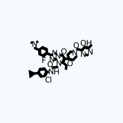 Cc1ncnc(C(=O)N2CCC3(CC2)OC(C)c2c3c(=O)n3nc(-c4ccc(CN(C)C)cc4F)nc3n2CC(=O)Nc2ccc(C3CC3)cc2Cl)c1O